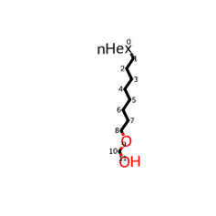 CCCCCCCCCCCCCCOCO